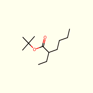 CCCCC(CC)C(=O)OC(C)(C)C